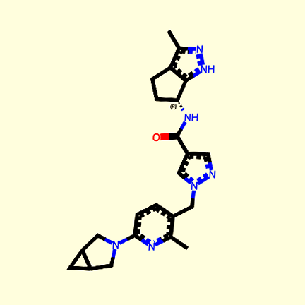 Cc1nc(N2CC3CC3C2)ccc1Cn1cc(C(=O)N[C@@H]2CCc3c(C)n[nH]c32)cn1